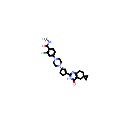 CNC(=O)c1ccc(N2CCN([C@H]3C=C(c4nc5c(c(=O)[nH]4)CC4(CC5)CC4)CC3)CC2)cc1Cl